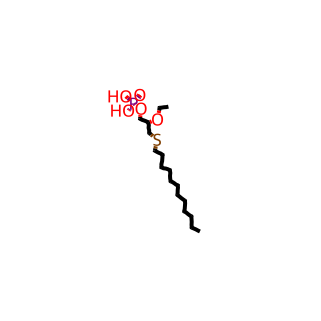 CCCCCCCCCCCCSCC(COP(=O)(O)O)OCC